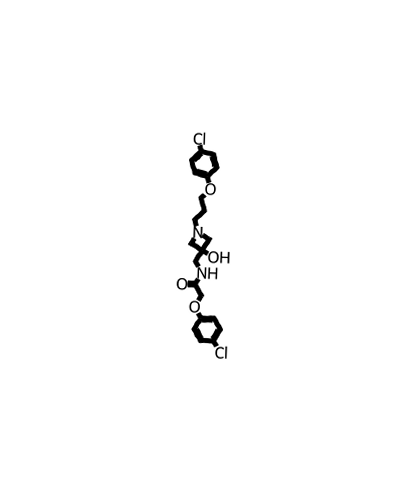 O=C(COc1ccc(Cl)cc1)NCC1(O)CN(CCCOc2ccc(Cl)cc2)C1